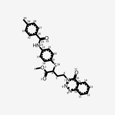 COC(=O)C(CCn1nnc2ccccc2c1=O)Sc1ccc(NC(=O)c2ccc(C)cc2)cc1